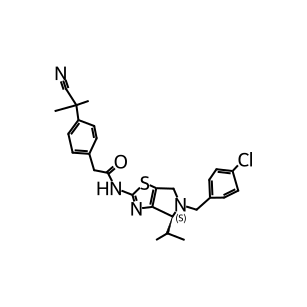 CC(C)[C@H]1c2nc(NC(=O)Cc3ccc(C(C)(C)C#N)cc3)sc2CN1Cc1ccc(Cl)cc1